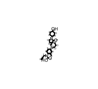 C#CCN(C(=O)O)c1ccc(N2CCC[C@]3(CCN(C4CCC(O)CC4)C3=O)C2)cc1C